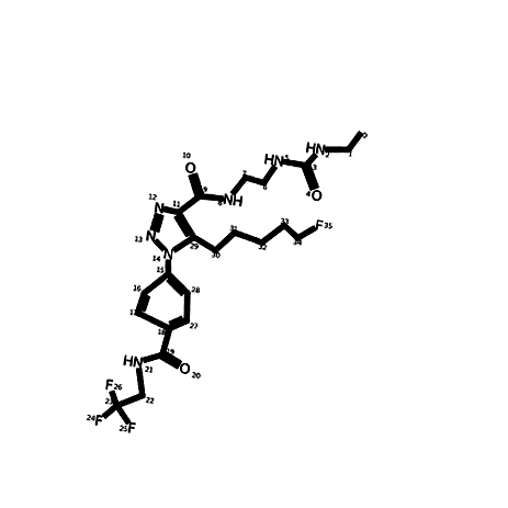 CCNC(=O)NCCNC(=O)c1nnn(-c2ccc(C(=O)NCC(F)(F)F)cc2)c1CCCCCF